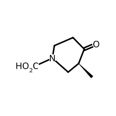 C[C@H]1CN(C(=O)O)CCC1=O